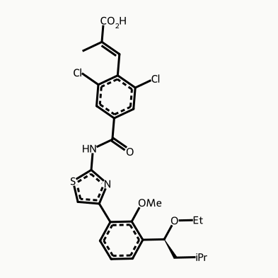 CCO[C@@H](CC(C)C)c1cccc(-c2csc(NC(=O)c3cc(Cl)c(C=C(C)C(=O)O)c(Cl)c3)n2)c1OC